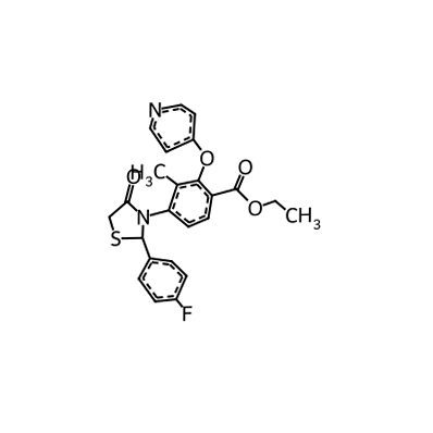 CCOC(=O)c1ccc(N2C(=O)CSC2c2ccc(F)cc2)c(C)c1Oc1ccncc1